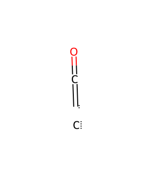 [C].[C]=C=O